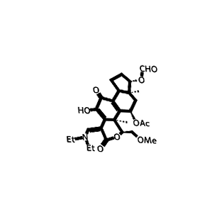 CCN(C=C1C(=O)O[C@H](COC)[C@@]2(C)C1=C(O)C(=O)C1=C2[C@H](OC(C)=O)C[C@@]2(C)C1CC[C@@H]2OC=O)CC